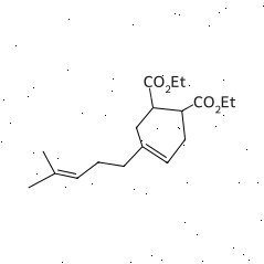 CCOC(=O)C1CC=C(CCC=C(C)C)CC1C(=O)OCC